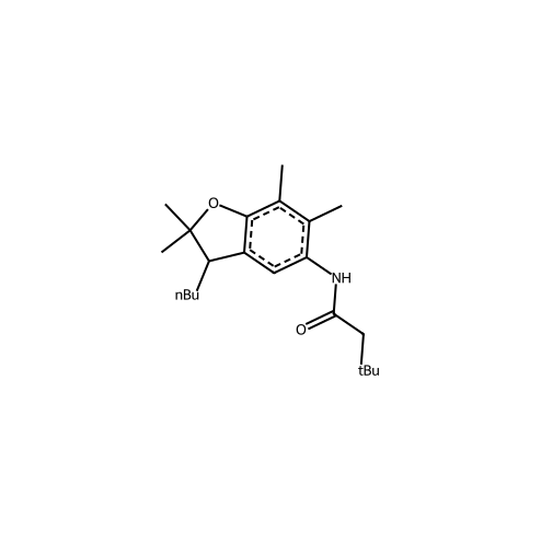 CCCCC1c2cc(NC(=O)CC(C)(C)C)c(C)c(C)c2OC1(C)C